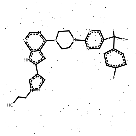 CC(O)(c1ccc(F)cc1)c1cnc(N2CCN(c3ncnc4[nH]c(-c5cnn(CCO)c5)cc34)CC2)nc1